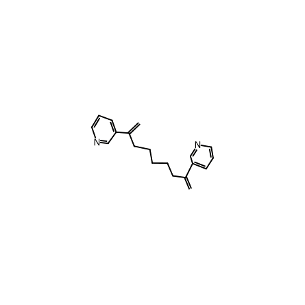 C=C(CCCCCC(=C)c1cccnc1)c1cccnc1